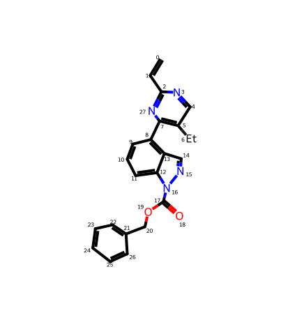 C=Cc1ncc(CC)c(-c2cccc3c2cnn3C(=O)OCc2ccccc2)n1